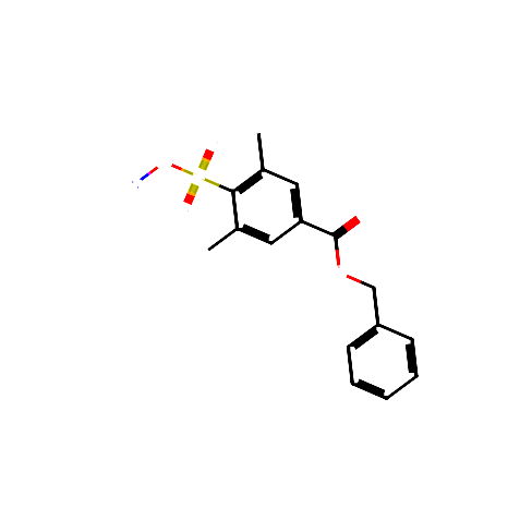 Cc1cc(C(=O)OCc2ccccc2)cc(C)c1S(=O)(=O)ON